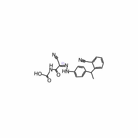 CC(c1ccc(N/N=C(/C#N)C(=O)NC(=O)O)cc1)c1ccccc1C#N